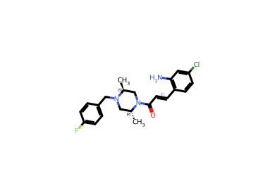 C[C@@H]1CN(Cc2ccc(F)cc2)[C@@H](C)CN1C(=O)/C=C/c1ccc(Cl)cc1N